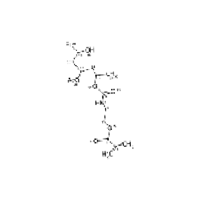 C=C(C)C(=O)OCCNC(=O)OC(C)CC(CC(O)CC)OC(C)=O